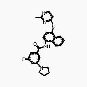 Cc1nccc(Oc2ccc(NC(=O)c3cc(F)cc(N4CCCC4)c3)c3ccccc23)n1